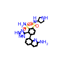 Nc1ccc2cccc(-c3ccc(S(=O)(=O)N[C@@H]4CCNC4)c(S(N)(=O)=O)c3-c3nn[nH]n3)c2n1